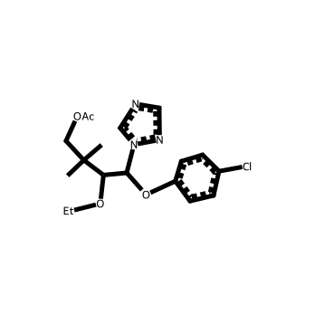 CCOC(C(Oc1ccc(Cl)cc1)n1cncn1)C(C)(C)COC(C)=O